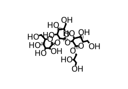 OCC(O)CO[C@H]1OC(CO)[C@@H](O)C(O)C1O[C@H]1OC(CO)[C@@H](O)C(O)C1O[C@@H]1OC(CO)[C@@H](O)C(O)C1O